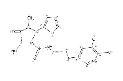 CN1C(=O)C(O)=C(C(=O)NCCCc2ccc(Cl)c(Cl)c2)C1c1ccco1